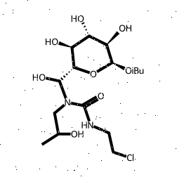 CC(C)CO[C@H]1O[C@H](C(O)N(CC(C)O)C(=O)NCCCl)[C@@H](O)[C@H](O)[C@H]1O